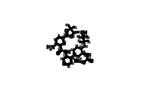 C=C1ON(c2ccc(N)c(C(=O)Nc3cnccc3N3CC[C@@H](CC(C)(C)[Si](C)(C)O)C(NC(=O)OC(C)(C)C)C3)n2)OC1(C)C